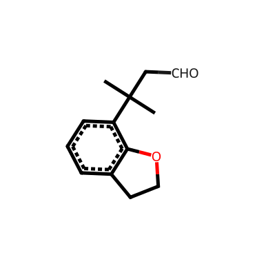 CC(C)(CC=O)c1cccc2c1OCC2